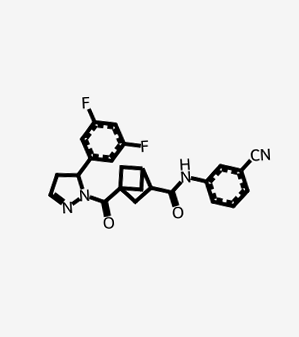 N#Cc1cccc(NC(=O)C2CC3(C(=O)N4N=CCC4c4cc(F)cc(F)c4)CC2C3)c1